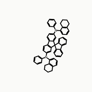 c1ccc(N(c2ccc3c(c2)C2(c4ccccc4-c4ccccc42)c2cc(N(c4ccccc4)c4cccc5c4CCCC5)ccc2-3)c2cccc3c2CCCC3)cc1